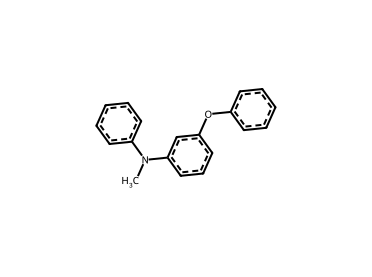 CN(c1ccccc1)c1cccc(Oc2ccccc2)c1